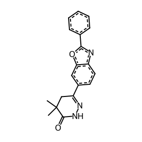 CC1(C)CC(c2ccc3nc(-c4ccccc4)oc3c2)=NNC1=O